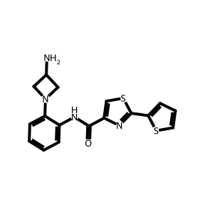 NC1CN(c2ccccc2NC(=O)c2csc(-c3cccs3)n2)C1